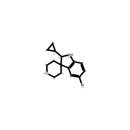 Brc1ccc2c(c1)C1(CCOCC1)C(C1CC1)N2